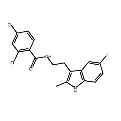 Cc1[nH]c2ccc(F)cc2c1CCNC(=O)c1ccc(Cl)cc1Cl